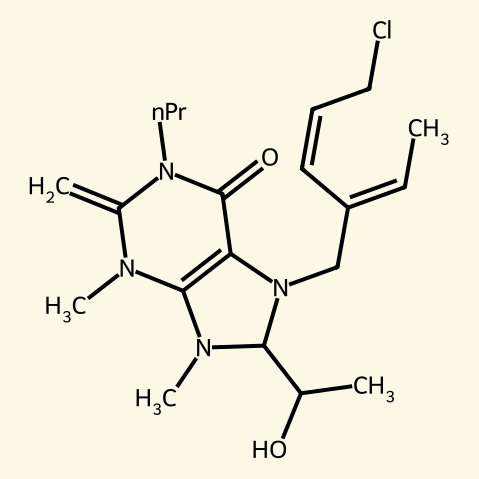 C=C1N(C)C2=C(C(=O)N1CCC)N(CC(/C=C\CCl)=C/C)C(C(C)O)N2C